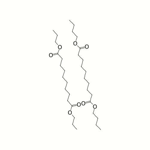 CCCCOC(=O)CCCCCCCCC(=O)OCCCC.CCCOC(=O)CCCCCCCCC(=O)OCCC